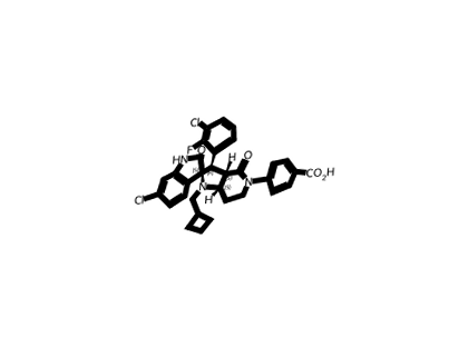 O=C(O)c1ccc(N2CC[C@H]3[C@@H](C2=O)[C@H](c2cccc(Cl)c2F)[C@]2(C(=O)Nc4cc(Cl)ccc42)N3CC2CCC2)cc1